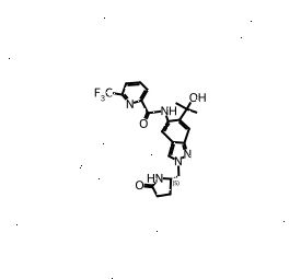 CC(C)(O)c1cc2nn(C[C@@H]3CCC(=O)N3)cc2cc1NC(=O)c1cccc(C(F)(F)F)n1